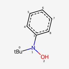 CC(C)(C)N(O)c1ccccc1